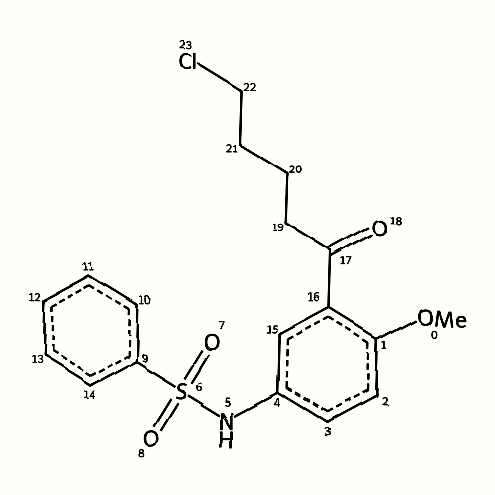 COc1ccc(NS(=O)(=O)c2ccccc2)cc1C(=O)CCCCCl